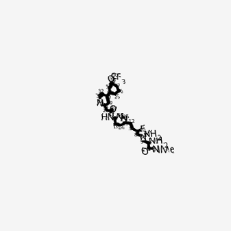 CNC(=O)/C(N)=C/N(N)CC(F)CCc1ccc(NC(=O)Cc2cc(-c3cccc(OC(F)(F)F)c3)ccn2)nn1